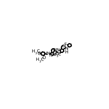 COc1ccc(CNc2ncnc3c(C(=O)Nc4c(C)ccc5c(Nc6ccccc6F)nccc45)cccc23)c(OC)c1